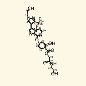 C#CCn1cc(-c2cnc3c(Oc4ccc(C(=O)OCC(=O)NCCO)c(O)c4)nccn23)c(C(F)(F)F)n1